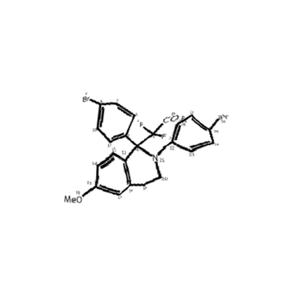 CCOC(=O)C(F)(F)C1(c2ccc(Br)cc2)c2ccc(OC)cc2CCN1c1ccc(C(C)C)cc1